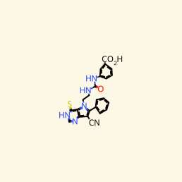 N#Cc1c(-c2ccccc2)n(CCNC(=O)Nc2cccc(C(=O)O)c2)c2c(=S)[nH]cnc12